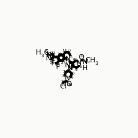 CNC(=O)N1CCc2c(c(N3CCCc4cc(-c5cnn(C)c5)c(C(F)F)cc43)nn2C2CCN(C(=O)CCl)CC2)C1